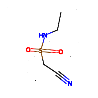 CCNS(=O)(=O)CC#N